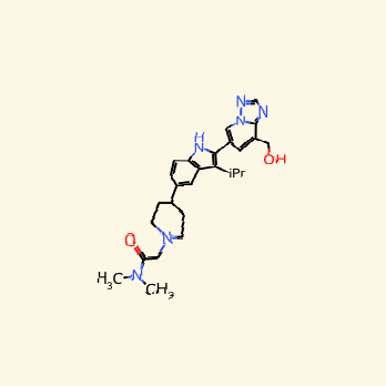 CC(C)c1c(-c2cc(CO)c3ncnn3c2)[nH]c2ccc(C3CCN(CC(=O)N(C)C)CC3)cc12